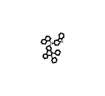 c1ccc(-c2c(-c3ccccc3)c3cc(N(c4ccc5sc6ccccc6c5c4)c4cccc5ccccc45)ccc3c3ccccc23)cc1